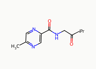 Cc1cnc(C(=O)NCC(=O)C(C)C)cn1